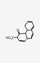 O=C(O)C1C=CN2C=CC3=CC=CCC3C2C1=O